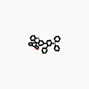 c1ccc(-c2cc(N(c3ccccc3)c3ccccc3)ccc2-c2ccc3c(c2)Sc2ccccc2C32c3ccccc3-c3ccccc32)cc1